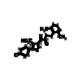 Cc1cccc(C)c1CCC(=O)Nc1csc(-c2ccc(Cl)cc2)c1C(=O)O